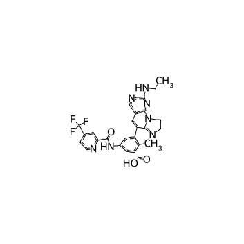 CCNc1ncc2c(n1)N1CCN=C1C(c1cc(NC(=O)c3cc(C(F)(F)F)ccn3)ccc1C)=C2.O=CO